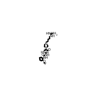 N=C(N)NCCCCCN1CCN(c2c[nH]c(NC(=O)Nc3ccccc3OCF)nc2=O)CC1